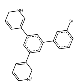 Brc1cccc(-c2cc(C3=CNCC=C3)cc(C3=CC=CNC3)c2)c1